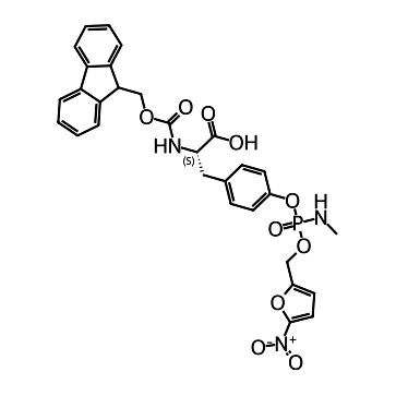 CNP(=O)(OCc1ccc([N+](=O)[O-])o1)Oc1ccc(C[C@H](NC(=O)OCC2c3ccccc3-c3ccccc32)C(=O)O)cc1